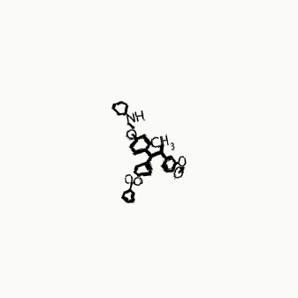 CCC(=C(c1ccc(OCCNC2CCCCC2)cc1)c1ccc(OC(=O)c2ccccc2)cc1)c1ccc2c(c1)OCO2